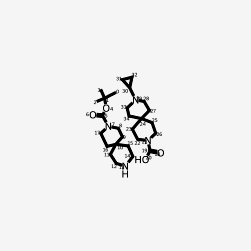 CC(C)(C)OC(=O)N1CCC2(CCNCC2)CC1.O=C(O)N1CCC2(CC1)CCN(C1CC1)CC2